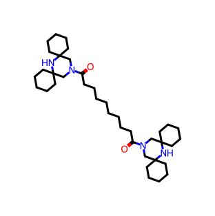 O=C(CCCCCCCCC(=O)N1CC2(CCCCC2)NC2(CCCCC2)C1)N1CC2(CCCCC2)NC2(CCCCC2)C1